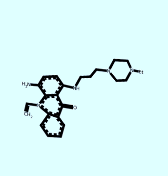 C=Cn1c2ccccc2c(=O)c2c(NCCCN3CCN(CC)CC3)ccc(N)c21